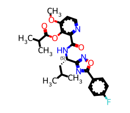 COc1ccnc(C(=O)N[C@@H](CC(C)C)c2noc(-c3ccc(F)cc3)n2)c1OC(=O)C(C)C